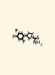 NC(=S)N1CCC(c2cc(F)c(F)cc2F)C1